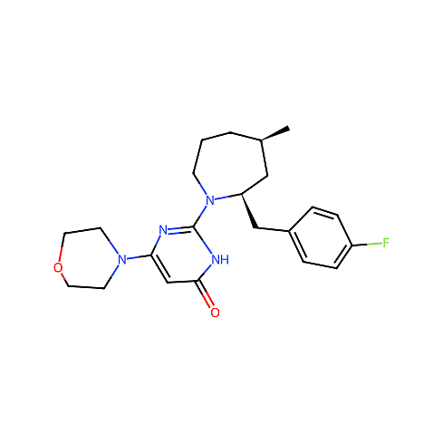 C[C@@H]1CCCN(c2nc(N3CCOCC3)cc(=O)[nH]2)[C@H](Cc2ccc(F)cc2)C1